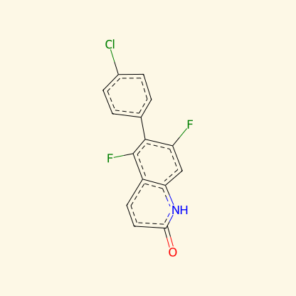 O=c1ccc2c(F)c(-c3ccc(Cl)cc3)c(F)cc2[nH]1